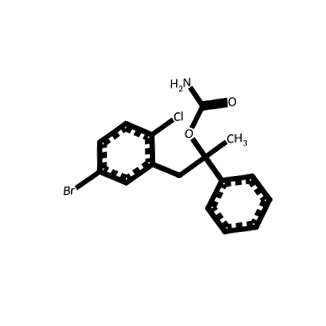 CC(Cc1cc(Br)ccc1Cl)(OC(N)=O)c1ccccc1